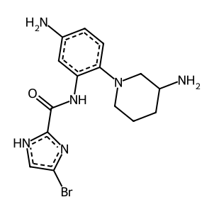 Nc1ccc(N2CCCC(N)C2)c(NC(=O)c2nc(Br)c[nH]2)c1